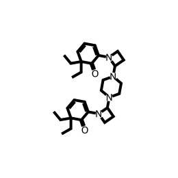 CCC1(CC)C=CC=C(N2CCC2N2CCN(C3CCN3C3=CC=CC(CC)(CC)C3=O)CC2)C1=O